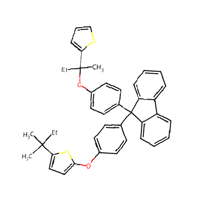 CCC(C)(C)c1ccc(Oc2ccc(C3(c4ccc(OC(C)(CC)c5cccs5)cc4)c4ccccc4-c4ccccc43)cc2)s1